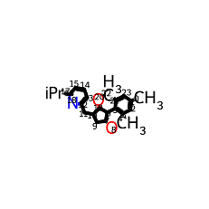 Cc1cc(C)c(C2C(=O)CC(Cc3cccc(C(C)C)n3)C2=O)c(C)c1